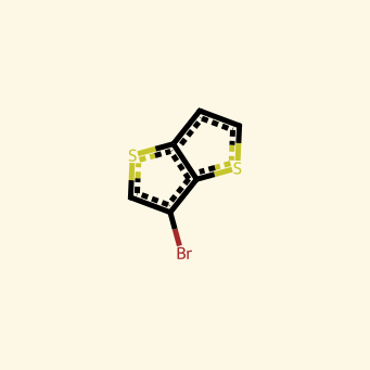 Brc1csc2ccsc12